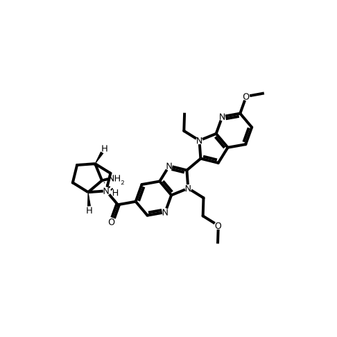 CCn1c(-c2nc3cc(C(=O)N4C[C@H]5CC[C@@H]4[C@@H]5N)cnc3n2CCOC)cc2ccc(OC)nc21